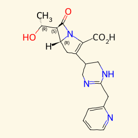 C[C@@H](O)[C@H]1C(=O)N2C(C(=O)O)=C(C3CN=C(Cc4ccccn4)NC3)C[C@H]12